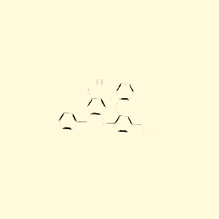 CCc1ccc([Se]c2ccc(CC)cc2Cc2ccccc2)c(Cc2ccccc2)c1